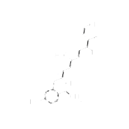 C=Cc1ccc(C)cc1C/C(C)=C/C=C(C)/C=C/C(F)=C(F)\C=C/C